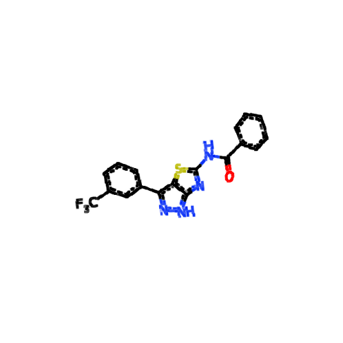 O=C(Nc1nc2[nH]nc(-c3cccc(C(F)(F)F)c3)c2s1)c1ccccc1